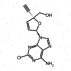 C#C[C@@]1(CO)C=C[C@H](n2cnc3c(N)nc(Cl)nc32)O1